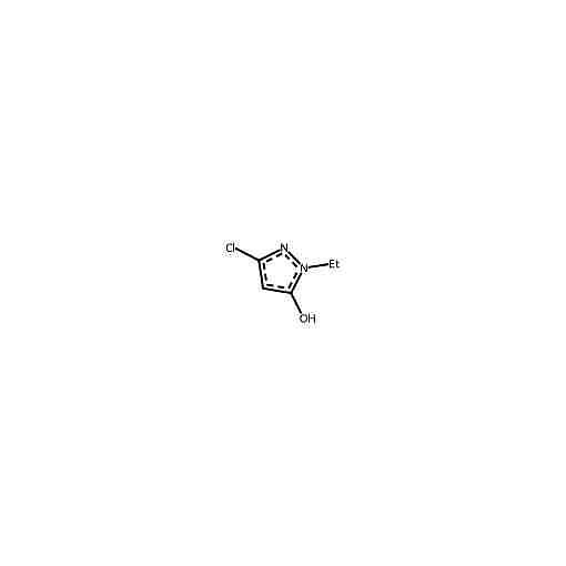 CCn1nc(Cl)cc1O